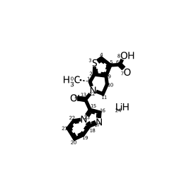 C[C@@H]1c2scc(C(=O)O)c2CCN1C(=O)c1cnc2ccccn12.[LiH]